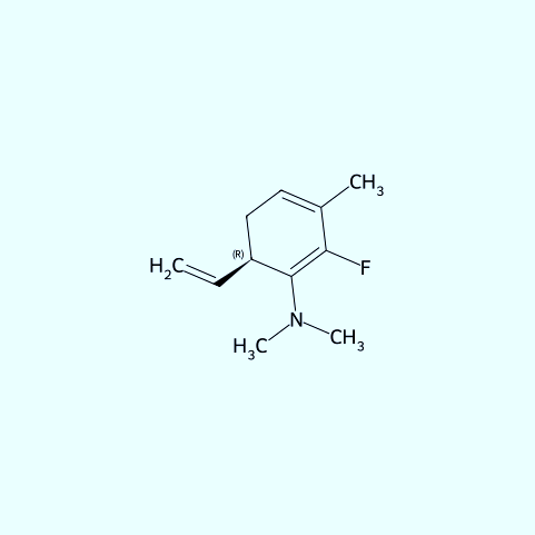 C=C[C@H]1CC=C(C)C(F)=C1N(C)C